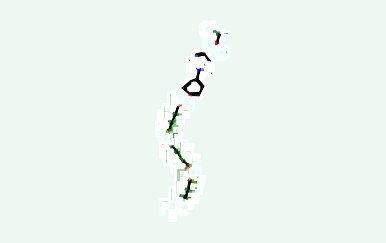 C[C@H](Cl)C(=O)Oc1cnc(-c2ccc(OC(F)C(F)(F)C(F)(F)C(F)(F)OC(F)(F)C(F)(F)C(F)(F)C(F)(F)OC(F)(F)C(F)(F)C(F)(F)C(F)(F)F)cc2)nc1